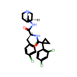 O=C(N[C@@H]1CN2CCC1CC2)[C@H](Cc1ccc(Cl)cc1F)NC(=O)C1(c2ccc(Cl)cc2Cl)CC1